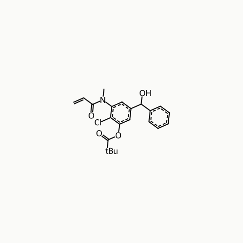 C=CC(=O)N(C)c1cc(C(O)c2ccccc2)cc(OC(=O)C(C)(C)C)c1Cl